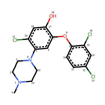 CN1CCN(c2cc(Oc3ccc(Cl)cc3Cl)c(O)cc2Cl)CC1